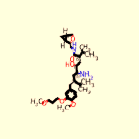 COCCCOc1cc(C[C@@H](C[C@H](N)[C@@H](O)C[C@H](C(=O)NC[C@@H]2OC[C@@H]3C[C@@H]32)C(C)C)C(C)C)ccc1OC